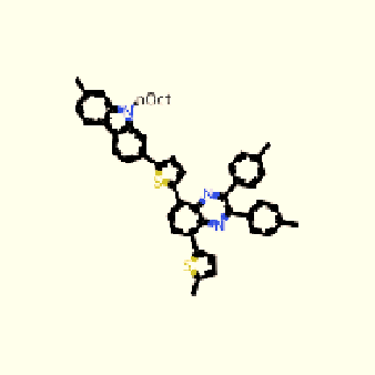 CCCCCCCCn1c2cc(C)ccc2c2ccc(-c3ccc(-c4ccc(-c5ccc(C)s5)c5nc(-c6ccc(C)cc6)c(-c6ccc(C)cc6)nc45)s3)cc21